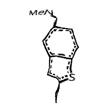 CNc1ccc2sc(C)cc2c1